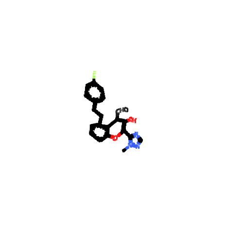 Cn1ncnc1C1=C(O)C(C=O)c2c(CCc3ccc(F)cc3)cccc2O1